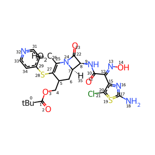 CC(C)(C)C(=O)OCC1C[C@@H]2[C@H](NC(=O)C(=NO)c3nc(N)sc3Cl)C(=O)N2C(C(=O)O)=C1Sc1ccncc1